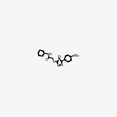 CCn1c(SCC(=O)Nc2ccccc2)nnc1-c1ccc(C(C)(C)C)cc1